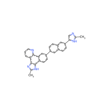 Cc1ncc(-c2ccc3cc(-c4ccc5c(c4)c4ncccc4c4nc(C)[nH]c54)ccc3c2)[nH]1